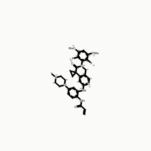 C=CC(=O)Nc1ccc(N2CCN(C)CC2)cc1Nc1cc2c(cn1)CN(c1c(F)c(OC)cc(OC)c1F)C(=O)C21CC1